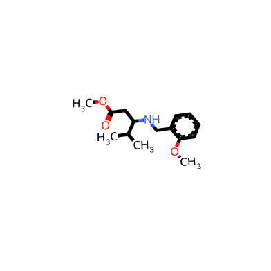 COC(=O)CC(NCc1ccccc1OC)C(C)C